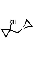 OC1(CN2CC2)CC1